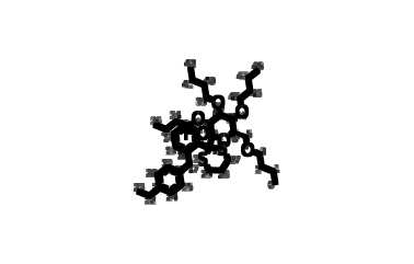 CCCCOC[C@H]1O[C@@](O)(C2(c3ccccc3Cc3ccc(CC)cc3)SCCCS2)[C@H](OCCCC)[C@@H](OCCCC)[C@@H]1OCCCC